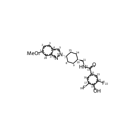 COc1ccc2cn([C@H]3CC[C@H](CNC(=O)c4cc(F)c(O)c(F)c4)CC3)nc2c1